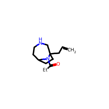 C=CCC12CCC(CCNC1)N2C(=O)CC